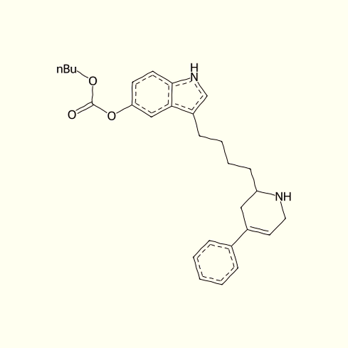 CCCCOC(=O)Oc1ccc2[nH]cc(CCCCC3CC(c4ccccc4)=CCN3)c2c1